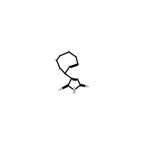 O=C1C=C(C2/C=C/CCCCC2)C(=O)N1